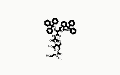 CN(CCO)C(=O)OCC1=C(C(=O)O)N2C(=O)C(NC(=O)C(=NOC(c3ccccc3)(c3ccccc3)c3ccccc3)c3csc(NC(c4ccccc4)(c4ccccc4)c4ccccc4)n3)[C@@H]2SC1